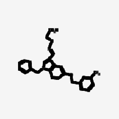 O=C(O)CO/N=C/c1cn(Cc2ccccc2)c2ccc(OCc3cccc(C(F)(F)F)c3)cc12